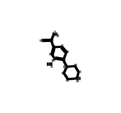 Cl.NC(=O)c1ccc(N2CCNCC2)nc1